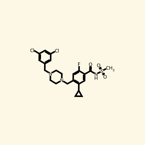 CS(=O)(=O)NC(=O)c1cc(C2CC2)c(CN2CCN(Cc3cc(Cl)cc(Cl)c3)CC2)cc1F